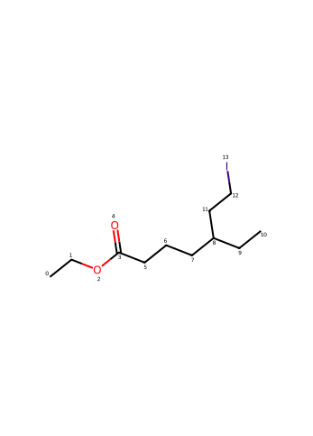 CCOC(=O)CCCC(CC)CCI